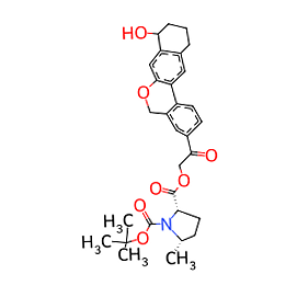 C[C@H]1CC[C@@H](C(=O)OCC(=O)c2ccc3c(c2)COc2cc4c(cc2-3)CCCC4O)N1C(=O)OC(C)(C)C